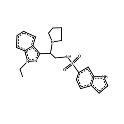 CCn1nc(C(CNS(=O)(=O)c2ccc3cc[nH]c3c2)N2CCCC2)c2ccccc21